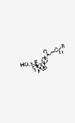 CCC(C)C(=O)OCCCC(=O)N1CCN(S(=O)(=O)C(F)(F)C(F)(F)C(F)(F)S(=O)(=O)O)CC1